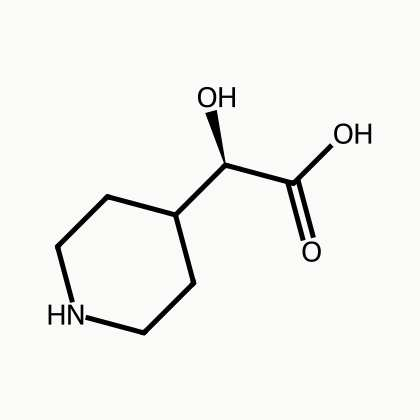 O=C(O)[C@H](O)C1CCNCC1